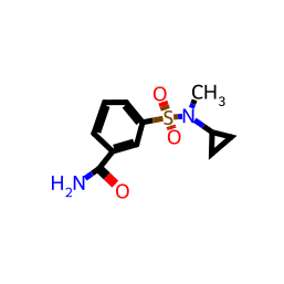 CN(C1CC1)S(=O)(=O)c1cccc(C(N)=O)c1